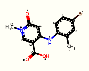 Cc1cc(Br)ccc1Nc1cc(=O)n(C)cc1C(=O)O